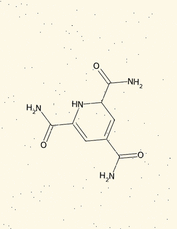 NC(=O)[C]1C=C(C(N)=O)C=C(C(N)=O)N1